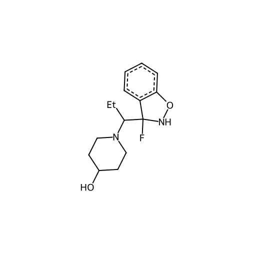 CCC(N1CCC(O)CC1)C1(F)NOc2ccccc21